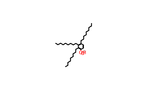 C=O.CCCCCCCCCc1ccc(O)c(CCCCCCCCC)c1CCCCCCCCC